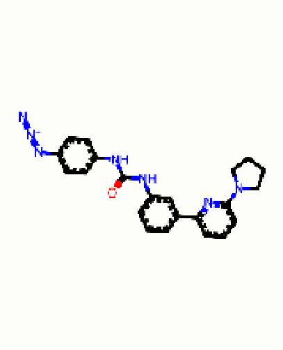 [N-]=[N+]=Nc1ccc(NC(=O)Nc2cccc(-c3cccc(N4CCCC4)n3)c2)cc1